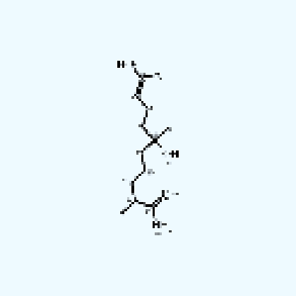 C/C(O)=C\CCC(C)(O)CCCC(C)C(N)=O